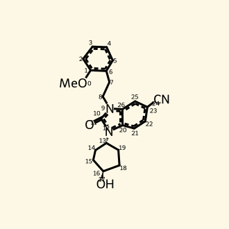 COc1ccccc1CCn1c(=O)n([C@H]2CC[C@H](O)CC2)c2ccc(C#N)cc21